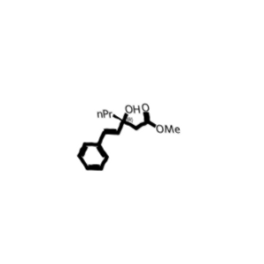 CCC[C@](O)(C=Cc1ccccc1)CC(=O)OC